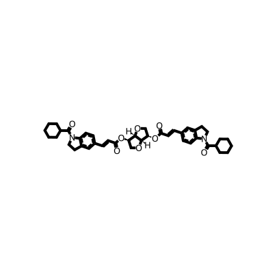 O=C(/C=C/c1ccc2c(c1)CCN2C(=O)C1CCCCC1)O[C@H]1CO[C@H]2[C@@H]1OC[C@H]2OC(=O)/C=C/c1ccc2c(c1)CCN2C(=O)C1CCCCC1